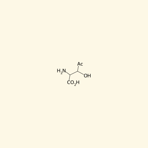 CC(=O)C(O)C(N)C(=O)O